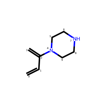 C=CC(=C)N1CCNCC1